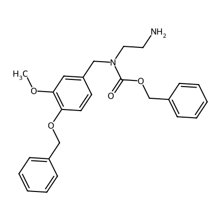 COc1cc(CN(CCN)C(=O)OCc2ccccc2)ccc1OCc1ccccc1